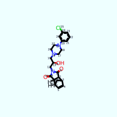 O=C1C2C3C=C[C@@H](C3)[C@@H]2C(=O)N1CC(O)CN1CCN(c2cccc(Cl)c2)CC1